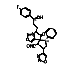 O=CC1C(c2conn2)C[C@@H](c2ccccc2)C1(C(=O)CCC[C@H](O)c1ccc(F)cc1)c1conn1